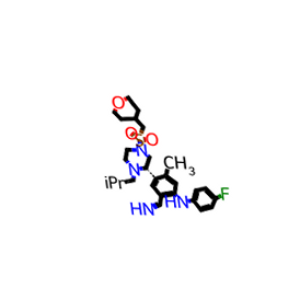 Cc1cc(Nc2ccc(F)cc2)c(C=N)cc1[C@H]1CN(S(=O)(=O)CC2CCOCC2)CCN1CC(C)C